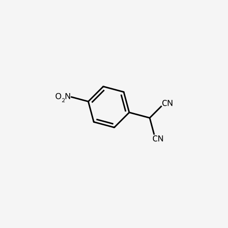 N#CC(C#N)c1ccc([N+](=O)[O-])cc1